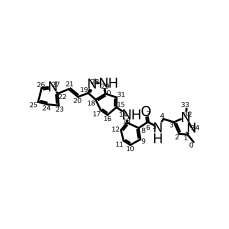 Cc1cc(CNC(=O)c2ccccc2Nc2ccc3c(C=Cc4ccccn4)n[nH]c3c2)n(C)n1